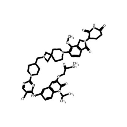 CNC(=O)COc1cc2cc(Nc3nc(N4CCC(CN5CC6(CCN(c7ccc8c(c7OC)CN(C7CCC(=O)NC7=O)C8=O)CC6)C5)CC4)ncc3Cl)ccc2n(C(C)C)c1=O